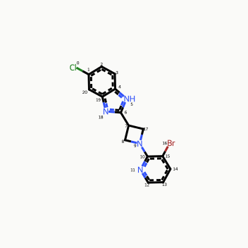 Clc1ccc2[nH]c(C3CN(c4ncccc4Br)C3)nc2c1